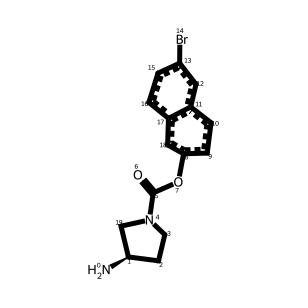 N[C@@H]1CCN(C(=O)Oc2ccc3cc(Br)ccc3c2)C1